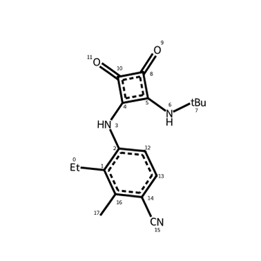 CCc1c(Nc2c(NC(C)(C)C)c(=O)c2=O)ccc(C#N)c1C